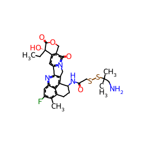 CC[C@@]1(O)C(=O)OCc2c1cc1n(c2=O)Cc2c-1nc1cc(F)c(C)c3c1c2[C@@H](NC(=O)CSSC(C)(C)CN)CC3